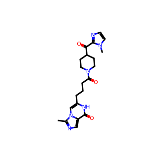 Cc1ncc2c(=O)[nH]c(CCCC(=O)N3CCC(C(=O)c4nccn4C)CC3)cn12